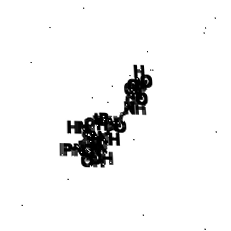 CC(C)N(C[C@H]1O[C@@H](n2cnc3c(NCCCCNC(=O)CCCCCNc4ccc5c(c4)C(=O)N(C4CCC(=O)NC4=O)C5=O)ncnc32)C(O)C1O)C1CC(CCc2nc3cc(C(C)(C)C)ccc3[nH]2)C1